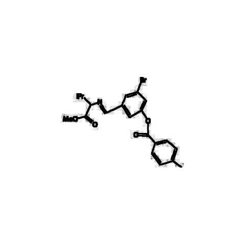 COC(=O)C(N=Cc1cc(Br)cc(OC(=O)c2ccc(C)cc2)c1)C(C)C